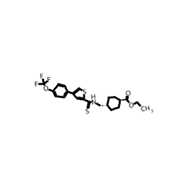 CCOC(=O)[C@H]1CC[C@H](CNC(=S)c2cc(-c3ccc(OC(F)(F)F)cc3)cs2)CC1